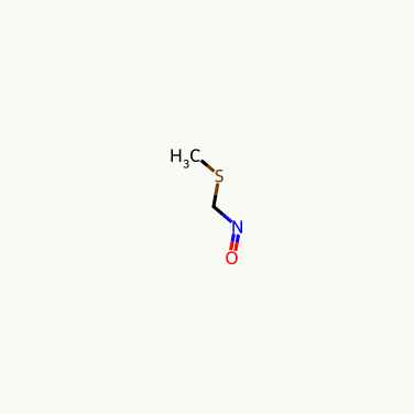 CSCN=O